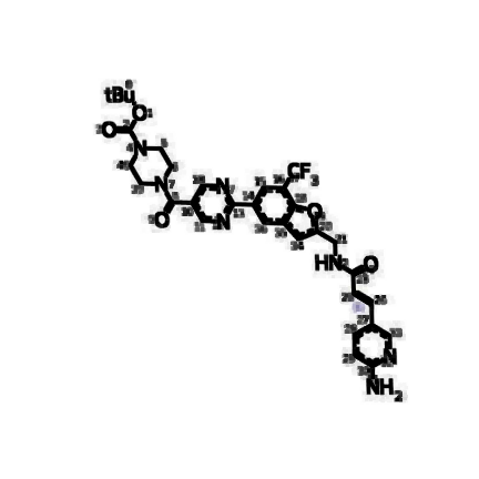 CC(C)(C)OC(=O)N1CCN(C(=O)c2cnc(-c3cc(C(F)(F)F)c4oc(CNC(=O)/C=C/c5ccc(N)nc5)cc4c3)nc2)CC1